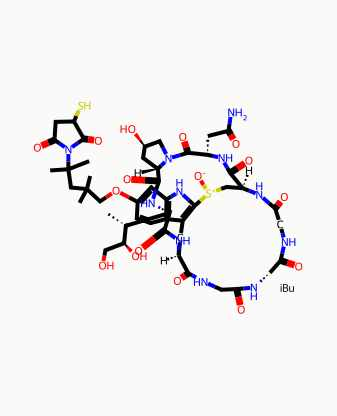 CC[C@H](C)[C@@H]1NC(=O)CNC(=O)[C@@H]2Cc3c([nH]c4cc(OCC(C)(C)CC(C)(C)N5C(=O)CC(S)C5=O)ccc34)[S+]([O-])C[C@H](NC(=O)CNC1=O)C(=O)N[C@@H](CC(N)=O)C(=O)N1C[C@H](O)C[C@H]1C(=O)N[C@@H]([C@@H](C)[C@@H](O)CO)C(=O)N2